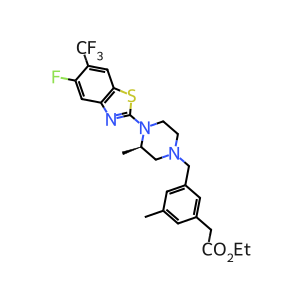 CCOC(=O)Cc1cc(C)cc(CN2CCN(c3nc4cc(F)c(C(F)(F)F)cc4s3)[C@H](C)C2)c1